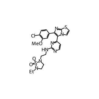 CCN1CCN(CCNc2nccc(-c3c(-c4ccc(Cl)c(OC)c4)nc4sccn34)n2)S1(=O)=O